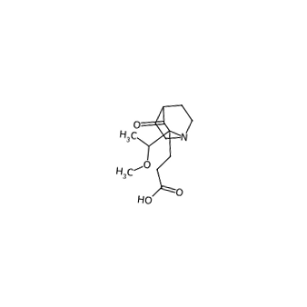 COC(C)C1(CCC(=O)O)C(=O)C2CCN1CC2